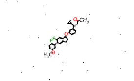 COc1ccc(F)c(-c2cc3c(cc2F)[C@H](Oc2cccc([C@@H](CC(C)=O)C4CC4)c2)CC3)c1